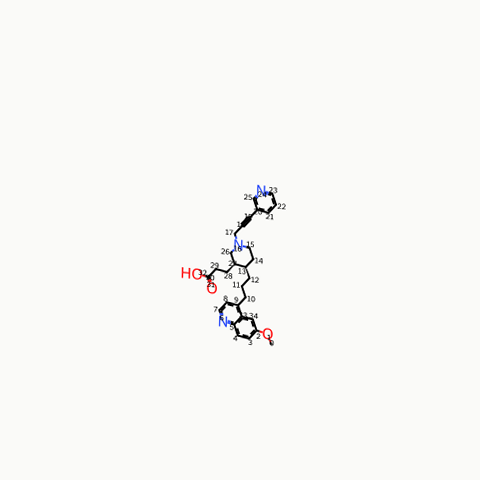 COc1ccc2nccc(CCC[C@@H]3CCN(CC#Cc4cccnc4)C[C@@H]3CCC(=O)O)c2c1